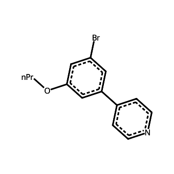 CCCOc1cc(Br)cc(-c2ccncc2)c1